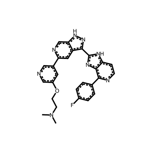 CN(C)CCOc1cncc(-c2cc3c(-c4nc5c(-c6ccc(F)cc6)nccc5[nH]4)n[nH]c3cn2)c1